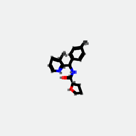 O=C(NC(c1ccc(C(F)(F)F)cc1)c1ncccc1C(F)(F)F)[C@@H]1CCCO1